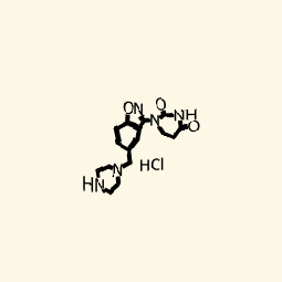 Cl.O=C1CCN(c2noc3ccc(CN4CCNCC4)cc23)C(=O)N1